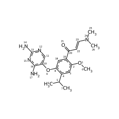 COc1cc(C(C)C)c(Oc2cnc(N)nc2N)cc1C(=O)C=CN(C)C